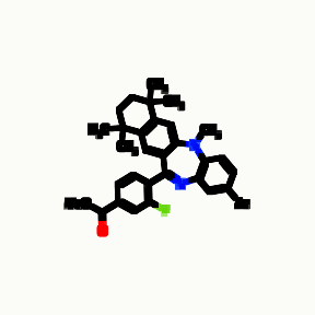 COC(=O)c1ccc(C2=Nc3cc(C(C)=O)ccc3N(C)c3cc4c(cc32)C(C)(C)CCC4(C)C)c(F)c1